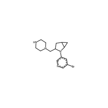 Brc1cncc(N2C(CN3CCNCC3)CC3CC32)c1